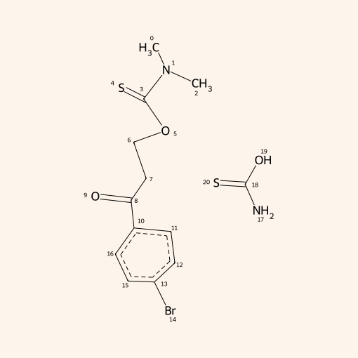 CN(C)C(=S)OCCC(=O)c1ccc(Br)cc1.NC(O)=S